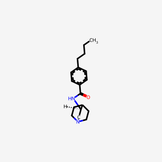 CCCCc1ccc(C(=O)N[C@@H]2CN3CCC2CC3)cc1